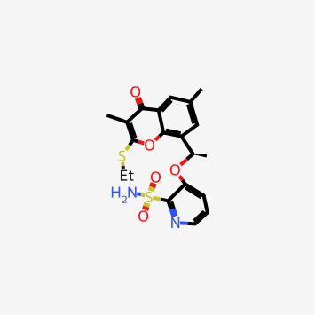 CCSc1oc2c([C@@H](C)Oc3cccnc3S(N)(=O)=O)cc(C)cc2c(=O)c1C